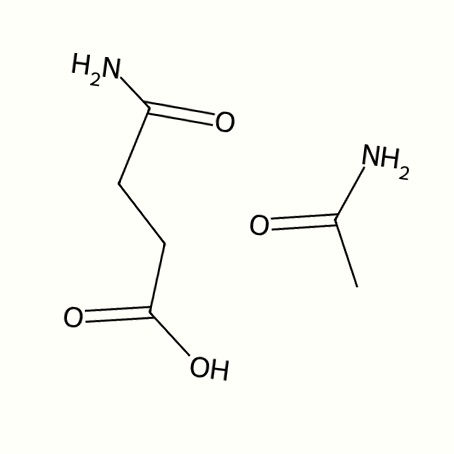 CC(N)=O.NC(=O)CCC(=O)O